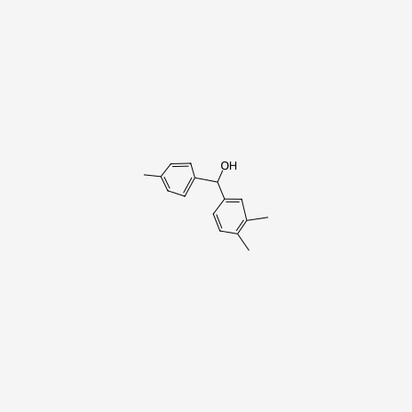 Cc1ccc(C(O)c2ccc(C)c(C)c2)cc1